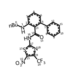 CCCCNc1cccc(-c2ccccc2)c1C(=O)Nc1nc(C(F)(F)F)c([N+](=O)[O-])s1